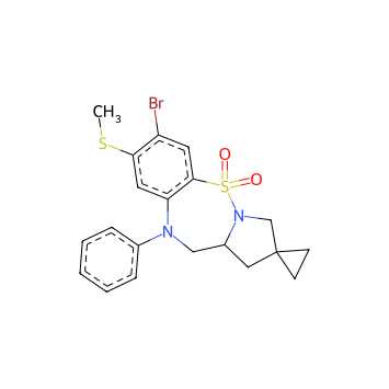 CSc1cc2c(cc1Br)S(=O)(=O)N1CC3(CC3)CC1CN2c1ccccc1